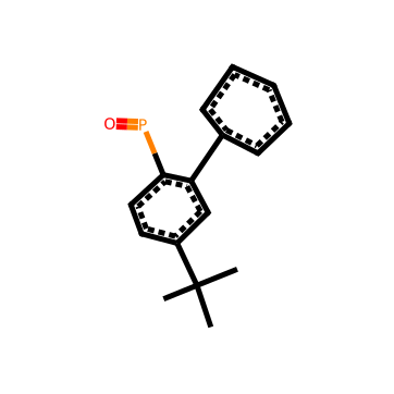 CC(C)(C)c1ccc(P=O)c(-c2ccccc2)c1